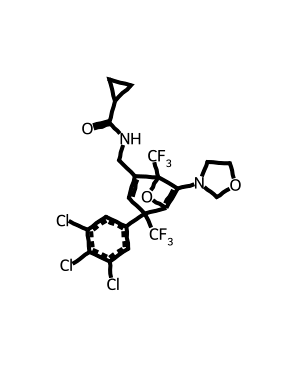 O=C(NCC1=CC(c2cc(Cl)c(Cl)c(Cl)c2)(C(F)(F)F)C2=C(N3CCOC3)C1(C(F)(F)F)O2)C1CC1